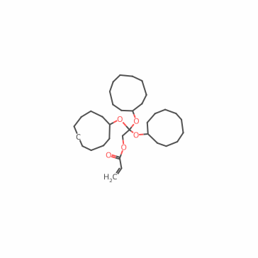 C=CC(=O)OCC(OC1CCCCCCCCC1)(OC1CCCCCCCCC1)OC1CCCCCCCCC1